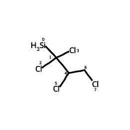 [SiH3]C(Cl)(Cl)C(Cl)CCl